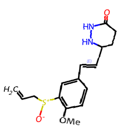 C=CC[S+]([O-])c1cc(/C=C/C2CCC(=O)NN2)ccc1OC